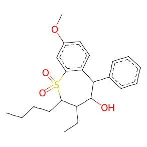 CCCCC1C(CC)C(O)C(c2ccccc2)c2ccc(OC)cc2S1(=O)=O